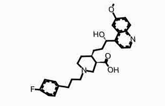 COc1ccc2nccc([C@@H](O)CC[C@@H]3CCN(CCCc4ccc(F)cc4)C[C@@H]3C(=O)O)c2c1